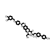 CC(C)CC(=O)N1Cc2cc3c(cc2CC1C(=O)N[C@@H](Cc1ccc(-c2ccc(C#N)cc2)cc1)C(=O)O)OC[C@H](c1ccc(OCc2ccc(Cl)c(Cl)c2)cc1)O3